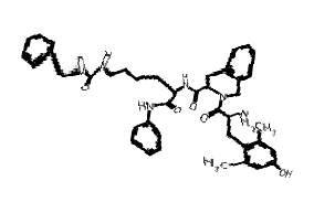 Cc1cc(O)cc(C)c1CC(N)C(=O)N1Cc2ccccc2CC1C(=O)NC(CCCCNC(=O)OCc1ccccc1)C(=O)Nc1ccccc1